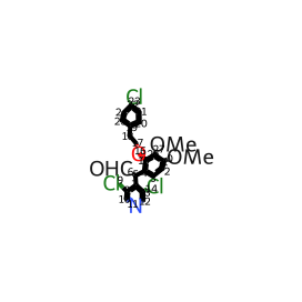 COc1ccc(C(C=O)c2c(Cl)cncc2Cl)c(OCCc2ccc(Cl)cc2)c1OC